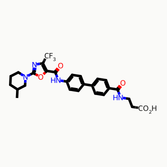 CC1CCCN(c2nc(C(F)(F)F)c(C(=O)Nc3ccc(-c4ccc(C(=O)NCCC(=O)O)cc4)cc3)o2)C1